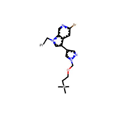 CC(C)Cn1cc(-c2cnn(COCC[Si](C)(C)C)c2)c2cc(Br)ncc21